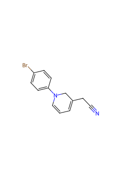 N#CCC1=CC=CN(c2ccc(Br)cc2)C1